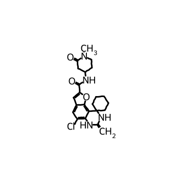 C=C1Nc2c(Cl)cc3cc(C(=O)NC4CCN(C)C(=O)C4)oc3c2C2(CCCCC2)N1